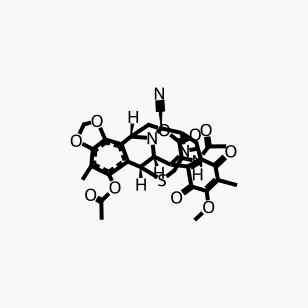 COC1=C(C)C(=O)C2=C(C1=O)C1[C@@H]3[C@@H]4SCC(NC(C)=O)C(=O)OC[C@@H](c5c6c(c(C)c(OC(C)=O)c54)OCO6)N3[C@@H](C#N)C(C2)N1C